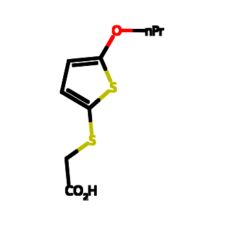 CCCOc1ccc(SCC(=O)O)s1